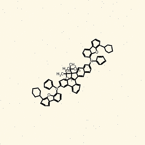 CC(C)(C)C1(C(C)(C)C)c2cc3cc(N(c4ccccc4)c4cccc5c4oc4c(C6CCCCC6)cccc45)ccc3cc2-c2c1c1ccc(N(c3ccccc3)c3cccc4c3oc3c(C5CCCCC5)cccc34)cc1c1ccccc21